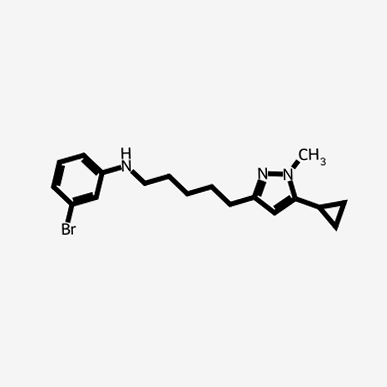 Cn1nc(CCCCCNc2cccc(Br)c2)cc1C1CC1